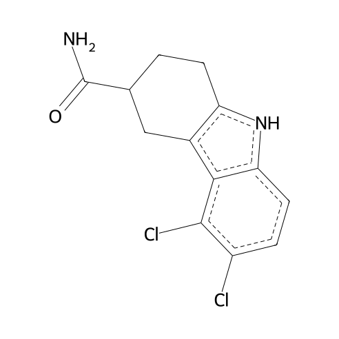 NC(=O)C1CCc2[nH]c3ccc(Cl)c(Cl)c3c2C1